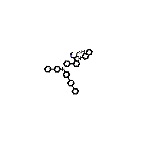 C/C=C\c1c(CS)n(-c2ccc3ccccc3c2)c2cccc(-c3cccc(N(c4ccc(-c5ccccc5)cc4)c4ccc(-c5ccc(-c6ccccc6)cc5)cc4)c3)c12